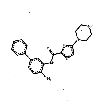 Nc1ccc(-c2ccccc2)cc1NC(=O)c1nc(N2CCNCC2)cs1